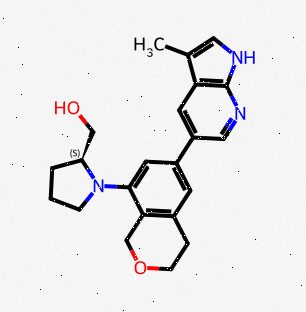 Cc1c[nH]c2ncc(-c3cc4c(c(N5CCC[C@H]5CO)c3)COCC4)cc12